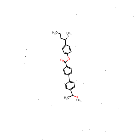 CCCC(CC)c1ccc(OC(=O)c2ccc(-c3ccc(C(C)OC)cc3)cc2)cc1